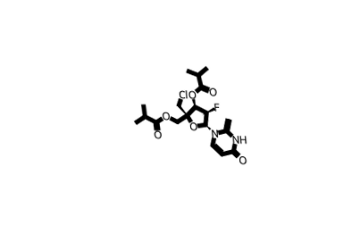 C=C1NC(=O)C=CN1[C@@H]1O[C@](CCl)(COC(=O)C(C)C)[C@@H](OC(=O)C(C)C)[C@H]1F